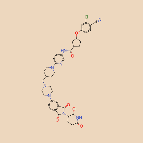 N#Cc1ccc(OC2CCC(C(=O)Nc3ccc(N4CCC(CN5CCN(c6ccc7c(c6)C(=O)N(C6CCC(=O)NC6=O)C7=O)CC5)CC4)nc3)C2)cc1Cl